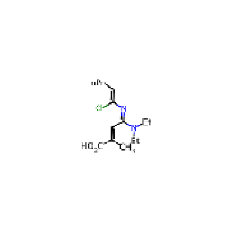 CCC/C=C(Cl)/N=C(\C=C(/C)C(=O)O)N(CC)CC